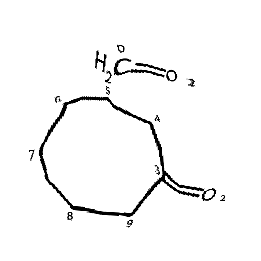 C=O.O=C1CCCCCC1